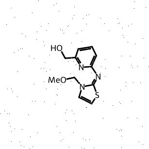 COCn1ccsc1=Nc1cccc(CO)n1